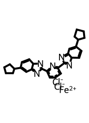 C1=CC2N=C(c3cccc(C4=NC5C=CC(C6CCCC6)=CC5=N4)n3)N=C2C=C1C1CCCC1.[Cl-].[Cl-].[Fe+2]